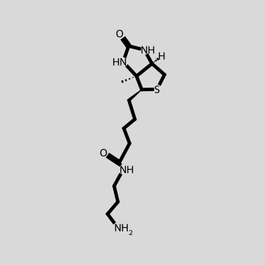 C[C@]12NC(=O)N[C@H]1CS[C@H]2CCCCC(=O)NCCCN